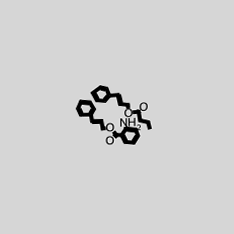 CCCC(=O)OC/C=C/c1ccccc1.Nc1ccccc1C(=O)OC/C=C/c1ccccc1